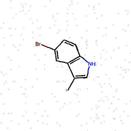 [CH]c1c[nH]c2ccc(Br)cc12